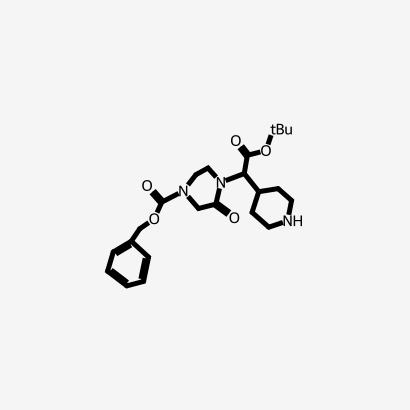 CC(C)(C)OC(=O)C(C1CCNCC1)N1CCN(C(=O)OCc2ccccc2)CC1=O